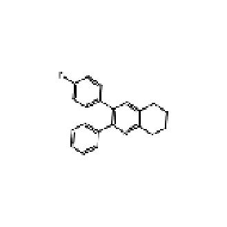 Fc1ccc(-c2cc3c(nc2-c2ccccc2)CCCC3)cc1